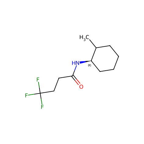 CC1CCCC[C@H]1NC(=O)CCC(F)(F)F